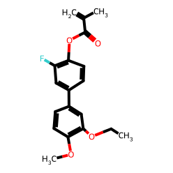 C=C(C)C(=O)Oc1ccc(-c2ccc(OC)c(OCC)c2)cc1F